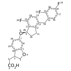 O=C(O)CC1COc2cc(O[C@@H]3CCc4c(Cc5ccc(F)cc5F)ccc(F)c43)ccc21